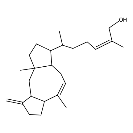 C=C1CCC2/C(C)=C\CC3C(C(C)CC/C=C(/C)CO)CCC3(C)CC12